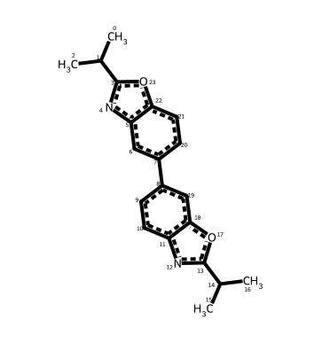 CC(C)c1nc2cc(-c3ccc4nc(C(C)C)oc4c3)ccc2o1